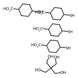 O=C(O)C1CCC(S)CC1.O=C(O)C1CCC(S)CC1.O=C(O)C1CCC(S)CC1.O=C(O)C1CCC(S)CC1.OCC(CO)(CO)CO